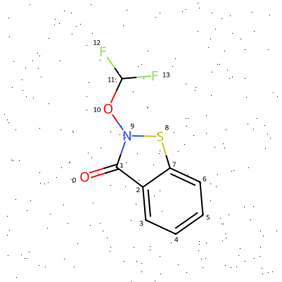 O=c1c2ccccc2sn1OC(F)F